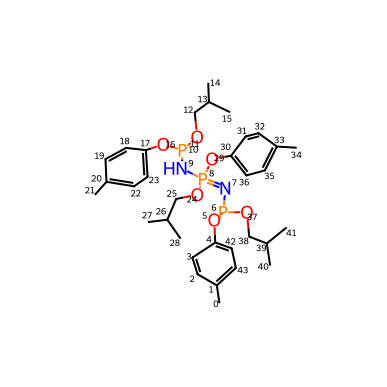 Cc1ccc(OP(N=P(NP(OCC(C)C)Oc2ccc(C)cc2)(OCC(C)C)Oc2ccc(C)cc2)OCC(C)C)cc1